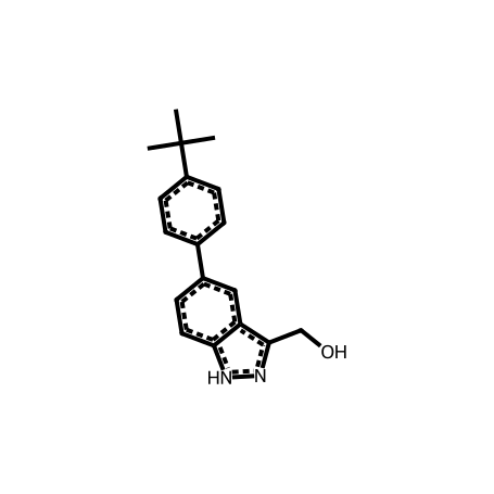 CC(C)(C)c1ccc(-c2ccc3[nH]nc(CO)c3c2)cc1